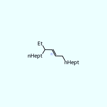 [CH2]CCCCCCC/C=C/C(CC)CCCCCC[CH2]